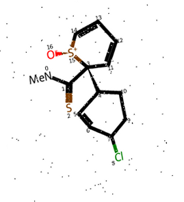 CNC(=S)[C@@]1(C2C=CC(Cl)CC2)C=CC=C[S@+]1[O-]